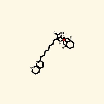 CC(=O)N1C[C@H]2CCC[C@@H](C1)C2C(=O)NC(CCCCCCCc1ccc2c(n1)NCCC2)C(=O)O